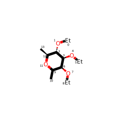 CCO[C@@H]1[C@@H](OCC)[C@@H](OCC)C(C)O[C@H]1C